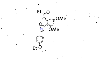 CCOc1ccc(/C=C/C(=O)c2c(OC)cc(OC)cc2OC(=O)CC)cc1